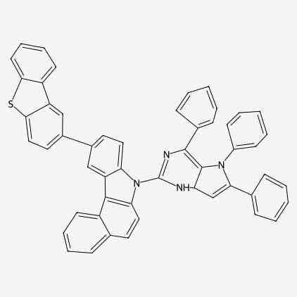 C1=C(c2ccccc2)N(c2ccccc2)C2=C(c3ccccc3)N=C(n3c4ccc(-c5ccc6sc7ccccc7c6c5)cc4c4c5ccccc5ccc43)NC12